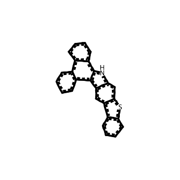 c1ccc2c(c1)sc1cc3[nH]c4c5ccccc5c5ccccc5c4c3cc12